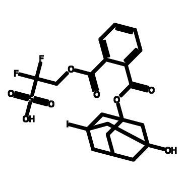 O=C(OCC(F)(F)S(=O)(=O)O)c1ccccc1C(=O)OC12CC3CC(O)(CC(I)(C3)C1)C2